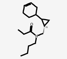 CCCCN(C[C@H]1CC1C1CC=CCC1)C(=O)CC